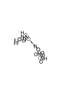 O=C1CCC(N2C(=O)c3ccc(N4CC(C#CC5CCN(C6(C(=O)Nc7ccc(C(F)(F)F)cc7Cl)CCC6)CC5)C4)cc3C2=O)C(=O)N1